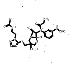 NCC(=O)N(c1cccc(NC=O)c1)C1C(=O)N2CC(CSc3nnnn3CCNC(N)=O)(C(=O)O)CS[C@H]12